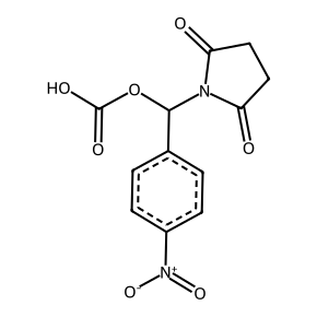 O=C(O)OC(c1ccc([N+](=O)[O-])cc1)N1C(=O)CCC1=O